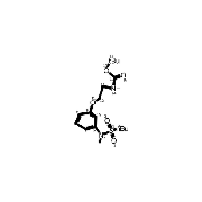 CCCCS(=O)(=O)N(C)c1cccc(OCCNC(=O)OC(C)(C)C)c1